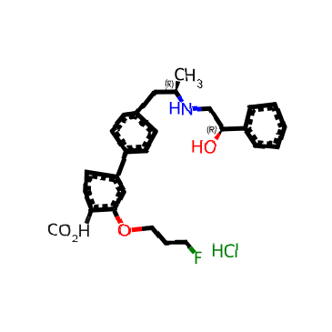 C[C@H](Cc1ccc(-c2ccc(C(=O)O)c(OCCCF)c2)cc1)NC[C@H](O)c1ccccc1.Cl